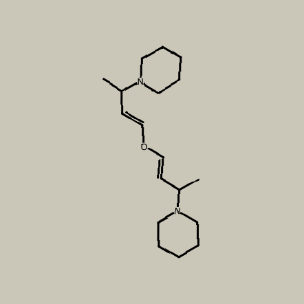 CC(/C=C/O/C=C/C(C)N1CCCCC1)N1CCCCC1